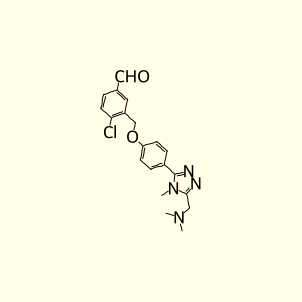 CN(C)Cc1nnc(-c2ccc(OCc3cc(C=O)ccc3Cl)cc2)n1C